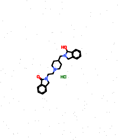 Cl.O=C1c2ccccc2CN1CCN1CCC(CN2Cc3ccccc3C2O)CC1